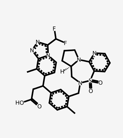 Cc1ccc(C(CC(=O)O)c2ccn3c(C(F)F)nnc3c2C)cc1CN1C[C@H]2CCCN2c2ncccc2S1(=O)=O